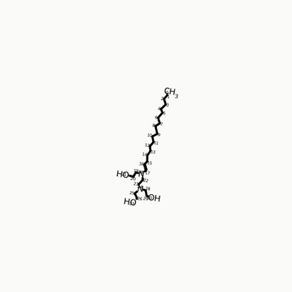 CCCCCCCCCCCCCCCCC=CN(CCO)CCN(CCO)CCO